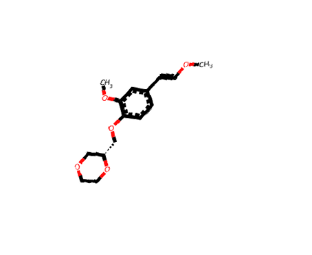 CO/C=C/c1ccc(OC[C@H]2COCCO2)c(OC)c1